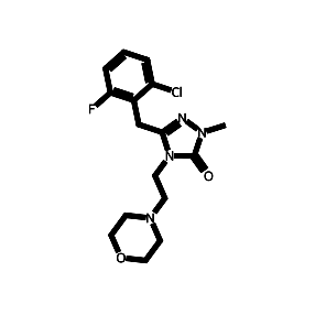 Cn1nc(Cc2c(F)cccc2Cl)n(CCN2CCOCC2)c1=O